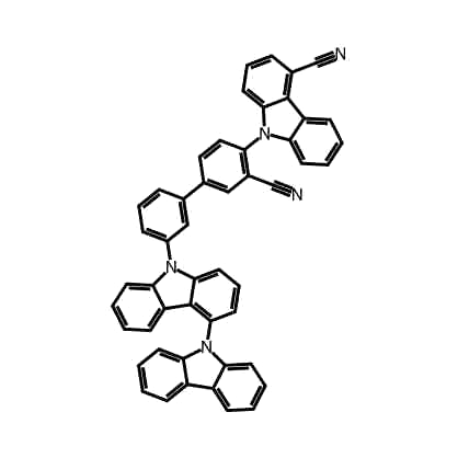 N#Cc1cc(-c2cccc(-n3c4ccccc4c4c(-n5c6ccccc6c6ccccc65)cccc43)c2)ccc1-n1c2ccccc2c2c(C#N)cccc21